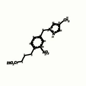 CCOC(=O)CCCc1ccc(Cn2cc(C)cn2)cc1[N+](=O)[O-]